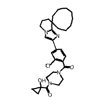 O=C(c1ccc(-c2cn3c(n2)C2(CCCCCCCC2)CCC3)cc1Cl)N1CCN(C(=O)C2(O)CC2)CC1